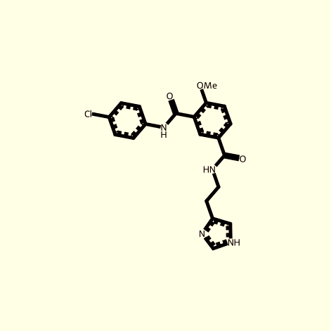 COc1ccc(C(=O)NCCc2c[nH]cn2)cc1C(=O)Nc1ccc(Cl)cc1